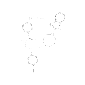 CCOC(=O)CCn1c(N2CCCN(CCC(CN(C)C(=O)c3ccccc3)c3ccc(F)cc3)CC2)nc2ccccc21